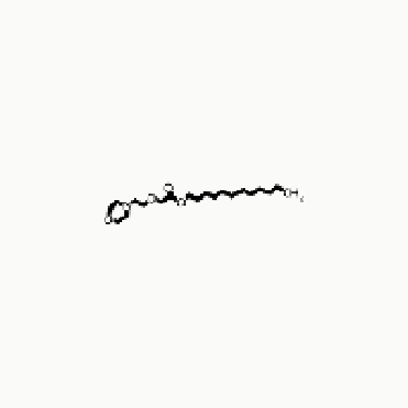 CCCCCCCCCCCCOC(=O)COCCN1CCOCC1